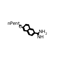 CCCCCOc1ccc2cc(C(=N)N)ccc2c1